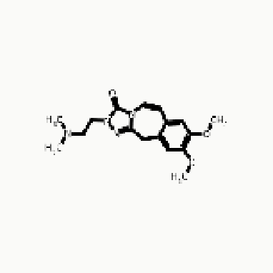 COc1cc2c(cc1OC)Cc1nn(CCN(C)C)c(=O)n1C=C2